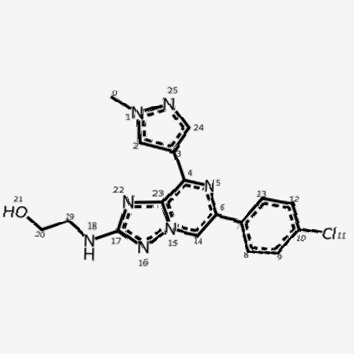 Cn1cc(-c2nc(-c3ccc(Cl)cc3)cn3nc(NCCO)nc23)cn1